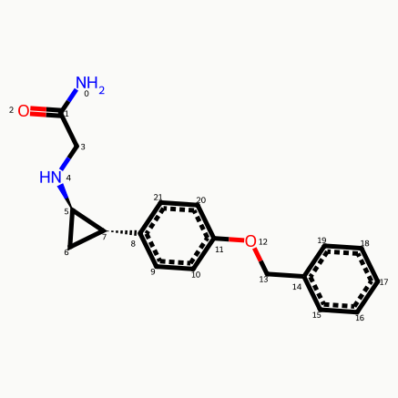 NC(=O)CN[C@@H]1C[C@H]1c1ccc(OCc2ccccc2)cc1